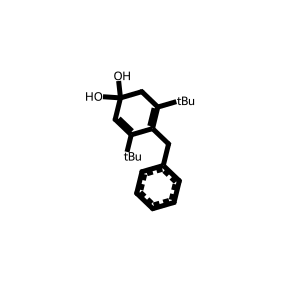 CC(C)(C)C1=CC(O)(O)CC(C(C)(C)C)=C1Cc1ccccc1